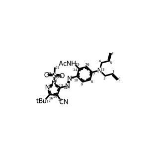 C=CCN(CC=C)c1ccc(/N=N/c2c(C#N)c(C(C)(C)C)nn2S(C)(=O)=O)c(NC(C)=O)c1